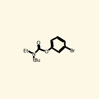 CCN(C(=O)Oc1cccc(Br)c1)C(C)(C)C